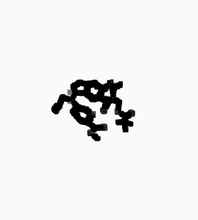 C#CCN(c1ccc(C(=O)OC)nc1)[C@H]1CCc2cc3nc(C)n(COC(=O)C(C)(C)C)c(=O)c3cc21